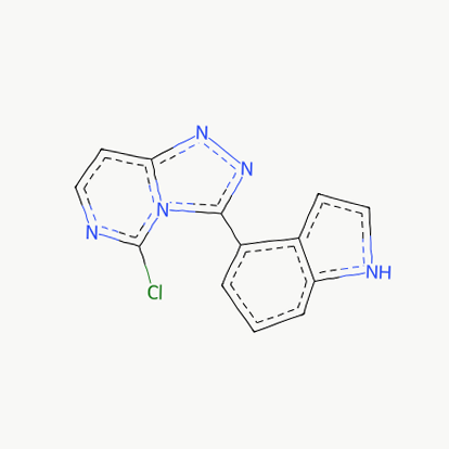 Clc1nccc2nnc(-c3cccc4[nH]ccc34)n12